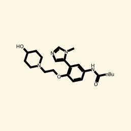 CCCCC(=O)Nc1ccc(OCCN2CCC(O)CC2)c(-c2cncn2C)c1